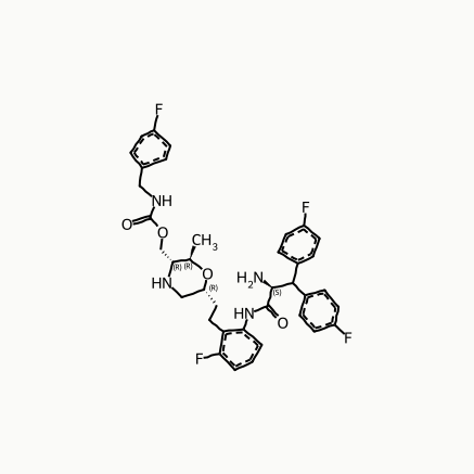 C[C@H]1O[C@H](CCc2c(F)cccc2NC(=O)[C@@H](N)C(c2ccc(F)cc2)c2ccc(F)cc2)CN[C@@H]1COC(=O)NCc1ccc(F)cc1